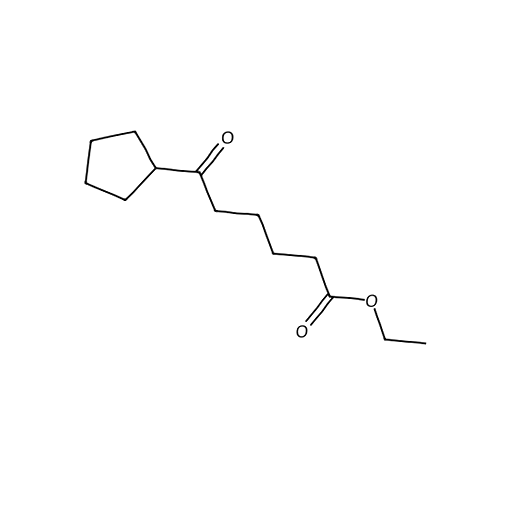 CCOC(=O)CCCCC(=O)C1CCCC1